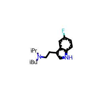 CCC(C)N(CCc1c[nH]c2ccc(F)cc12)C(C)C